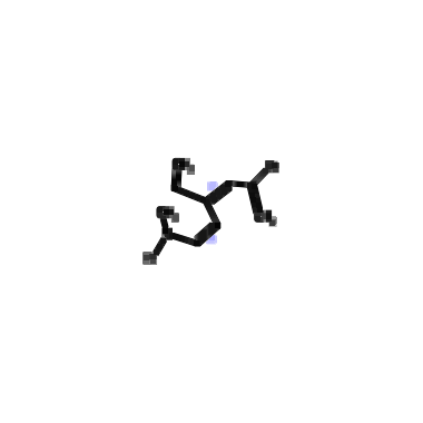 C=CC(/C=C\N(C)CC)=C/C(=C)CC